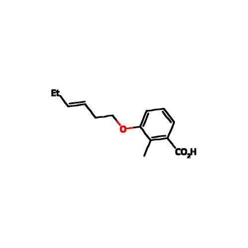 CCC=CCCOc1cccc(C(=O)O)c1C